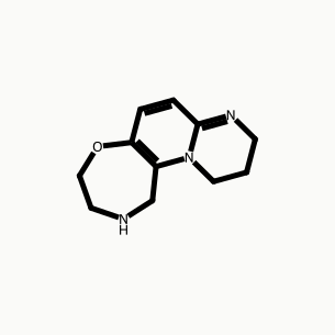 C1=CC2=C(CNCCO2)N2CCCN=C12